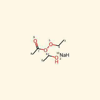 CCO.CCOOC(C)=O.[NaH]